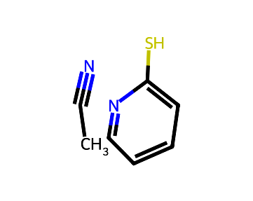 CC#N.Sc1ccccn1